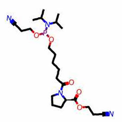 CC(C)N(C(C)C)P(OCCC#N)OCCCCCC(=O)N1CCC[C@@H]1C(=O)OCCC#N